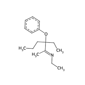 CCCC(CC)(Oc1ccccc1)C(C)=NCC